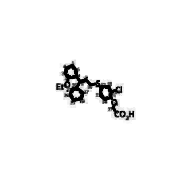 CCOc1ccccc1C(=CCSc1ccc(OCC(=O)O)c(Cl)c1)c1ccccc1